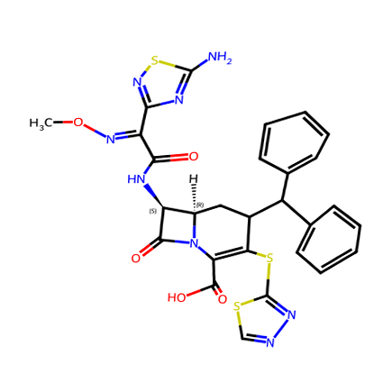 CON=C(C(=O)N[C@@H]1C(=O)N2C(C(=O)O)=C(Sc3nncs3)C(C(c3ccccc3)c3ccccc3)C[C@H]12)c1nsc(N)n1